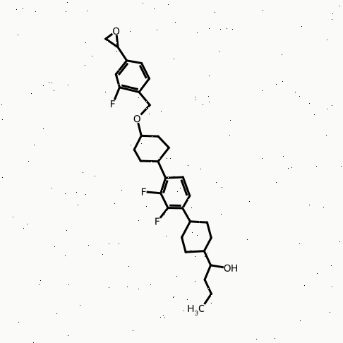 CCCC(O)C1CCC(c2ccc(C3CCC(OCc4ccc(C5CO5)cc4F)CC3)c(F)c2F)CC1